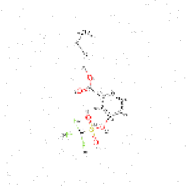 CCCCOC(=O)c1[c]ccc(OS(=O)(=O)C(F)(F)F)c1